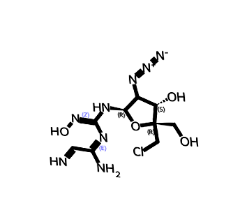 [N-]=[N+]=NC1[C@H](NC(=N/O)/N=C(/N)C=N)O[C@@](CO)(CCl)[C@H]1O